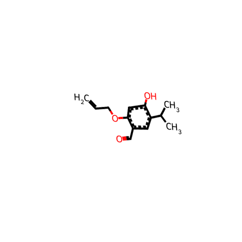 C=CCOc1cc(O)c(C(C)C)cc1C=O